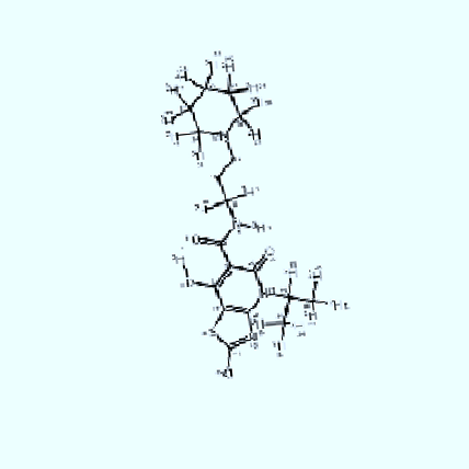 [2H]Oc1c(C(=O)N([2H])C([2H])([2H])CCN2C([2H])([2H])C([2H])([2H])C([2H])([2H])C([2H])([2H])C2([2H])[2H])c(=O)n(C([2H])(C([2H])([2H])[2H])C([2H])([2H])[2H])c2nc(Cl)sc12